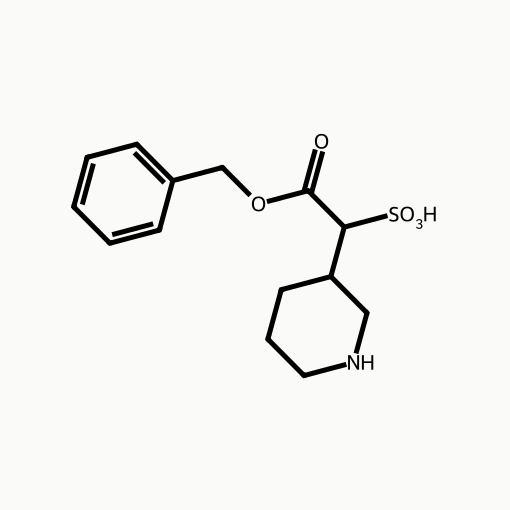 O=C(OCc1ccccc1)C(C1CCCNC1)S(=O)(=O)O